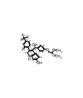 COC(COc1ccc([C@@H](O)C2=C(c3ccc(C(F)(F)F)cc3F)CNc3cc(O)ccc32)cc1)OC